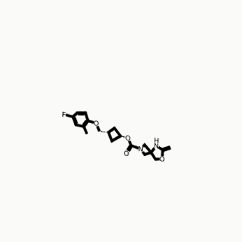 C=C1NC2(CO1)CN(C(=O)O[C@H]1C[C@@H](COc3ccc(F)cc3C)C1)C2